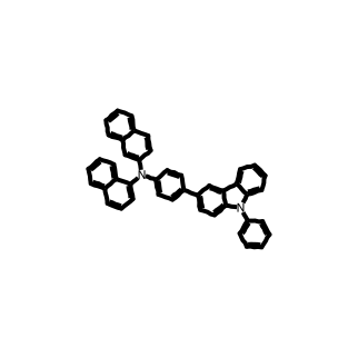 c1ccc(-n2c3ccccc3c3cc(-c4ccc(N(c5ccc6ccccc6c5)c5cccc6ccccc56)cc4)ccc32)cc1